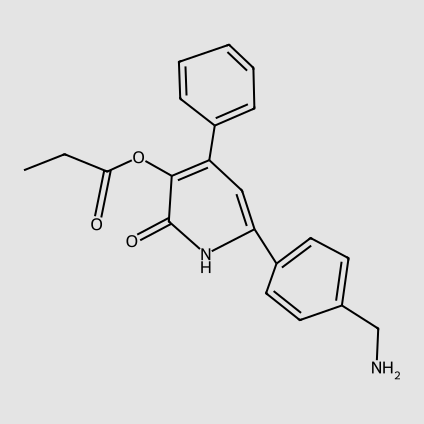 CCC(=O)Oc1c(-c2ccccc2)cc(-c2ccc(CN)cc2)[nH]c1=O